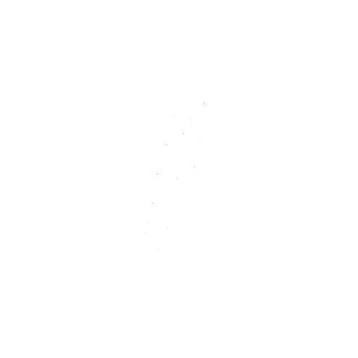 CC/C=C/CCCCCCCC(=O)O.CCC/C=C/CCCCCCCC(=O)O